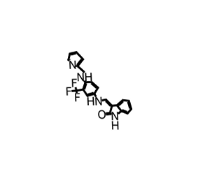 O=C1Nc2ccccc2C1=CNc1ccc(NCc2ccccn2)c(C(F)(F)F)c1